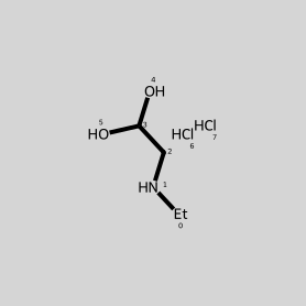 CCNCC(O)O.Cl.Cl